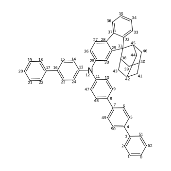 c1ccc(-c2ccc(-c3ccc(N(c4ccc(-c5ccccc5)cc4)c4ccc5c(c4)C4(c6ccccc6-5)C5CC6CC(C5)CC4C6)cc3)cc2)cc1